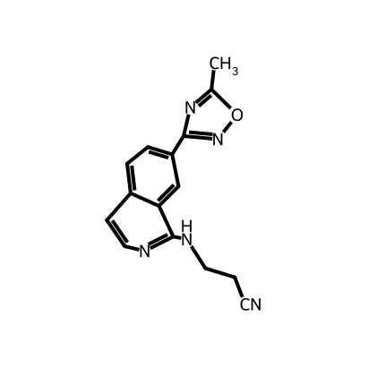 Cc1nc(-c2ccc3ccnc(NCCC#N)c3c2)no1